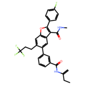 C=C(CC)NC(=O)c1cccc(-c2cc3c(C(=O)NC)c(-c4ccc(F)cc4)oc3cc2CCC(F)(F)F)c1